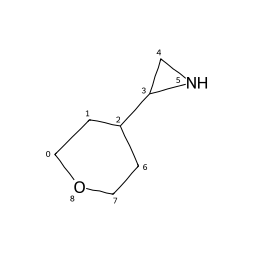 C1CC(C2CN2)CCO1